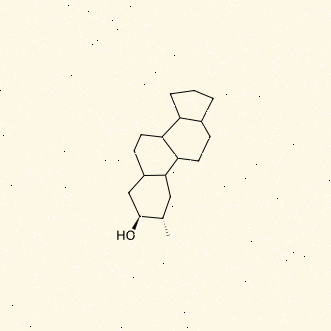 C[C@H]1CC2C(CCC3C4CCCC4CCC23)C[C@@H]1O